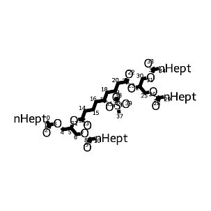 CCCCCCCC(=O)OCC(COC(=O)CCCCCCC)OC(=O)CCCC(CCCC(=O)OC(COC(=O)CCCCCCC)COC(=O)CCCCCCC)OS(C)(=O)=O